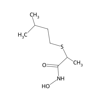 CC(C)CCSC(C)C(=O)NO